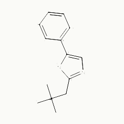 CC(C)(C)Cc1ncc(-c2ccccc2)[nH]1